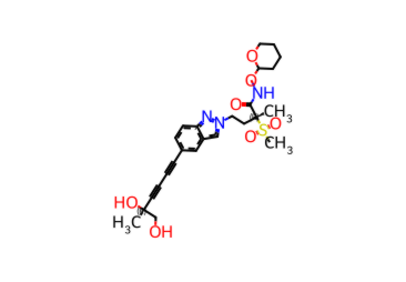 C[C@@](O)(C#CC#Cc1ccc2nn(CC[C@](C)(C(=O)NOC3CCCCO3)S(C)(=O)=O)cc2c1)CO